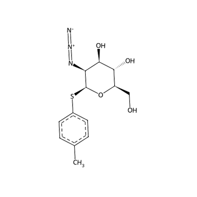 Cc1ccc(S[C@@H]2O[C@H](CO)[C@@H](O)[C@H](O)[C@@H]2N=[N+]=[N-])cc1